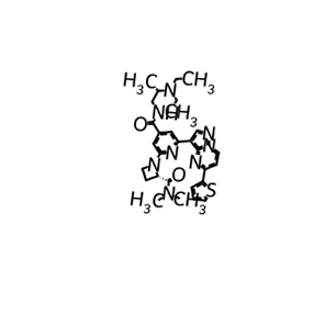 CCN(CC)C(C)CNC(=O)c1cc(-c2cnn3ccc(-c4cccs4)nc23)nc(N2CC[C@H]2C(=O)N(C)C)c1